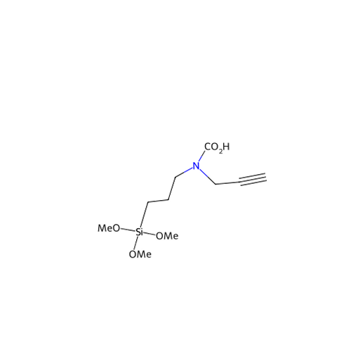 C#CCN(CCC[Si](OC)(OC)OC)C(=O)O